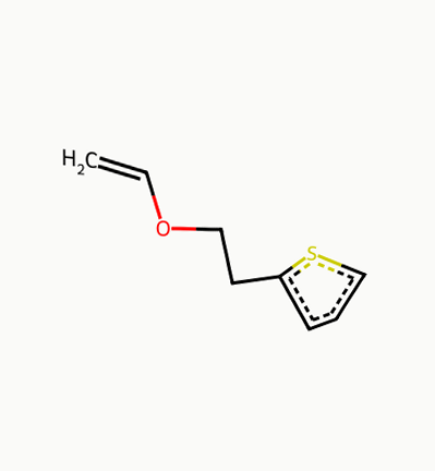 C=COCCc1cccs1